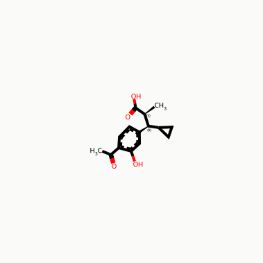 CC(=O)c1ccc([C@H](C2CC2)[C@H](C)C(=O)O)cc1O